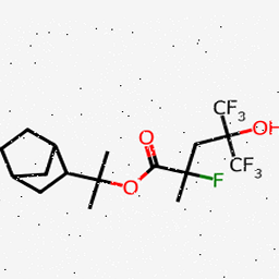 CC(F)(CC(O)(C(F)(F)F)C(F)(F)F)C(=O)OC(C)(C)C1CC2CCC1C2